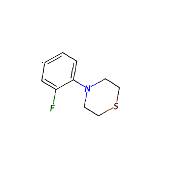 Fc1c[c]ccc1N1CCSCC1